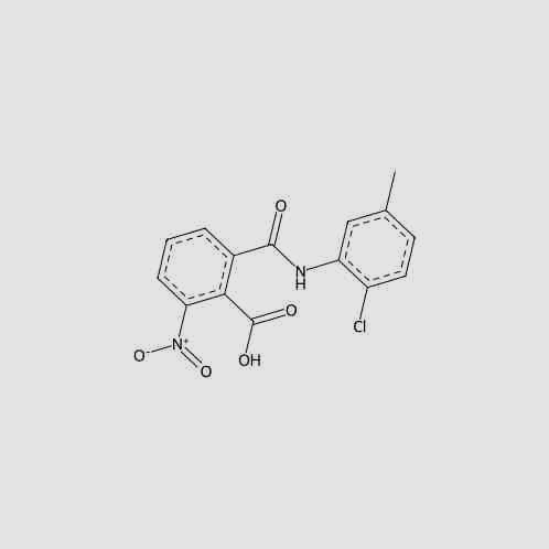 Cc1ccc(Cl)c(NC(=O)c2cccc([N+](=O)[O-])c2C(=O)O)c1